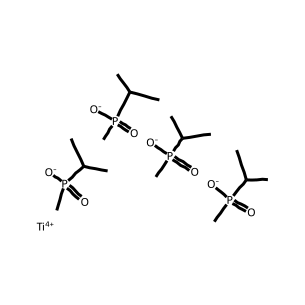 CC(C)P(C)(=O)[O-].CC(C)P(C)(=O)[O-].CC(C)P(C)(=O)[O-].CC(C)P(C)(=O)[O-].[Ti+4]